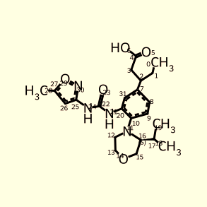 CCC(CC(=O)O)c1ccc(N2CCOC[C@@H]2C(C)C)c(NC(=O)Nc2cc(C)on2)c1